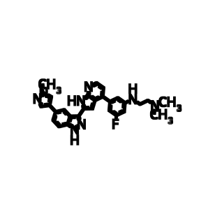 CN(C)CCNc1cc(F)cc(-c2ccnc3[nH]c(-c4n[nH]c5ccc(-c6cnn(C)c6)cc45)cc23)c1